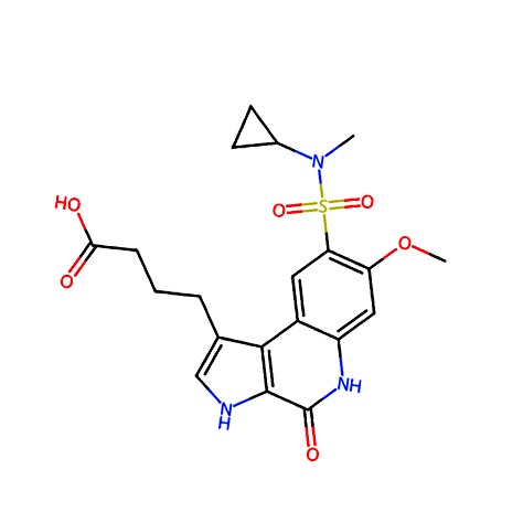 COc1cc2[nH]c(=O)c3[nH]cc(CCCC(=O)O)c3c2cc1S(=O)(=O)N(C)C1CC1